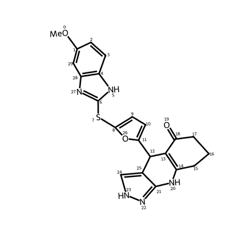 COc1ccc2[nH]c(Sc3ccc(C4C5=C(CCCC5=O)Nc5n[nH]cc54)o3)nc2c1